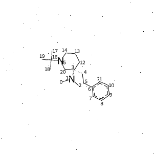 CN(C)[C@]1(CCc2ccccc2)CCCN(C(C)(C)C)C1